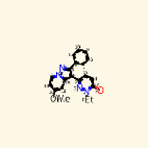 CCn1nc(-c2c(-c3ccccc3)nn3ccc(OC)cc23)ccc1=O